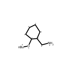 CCCCOC1CCCCC1CN